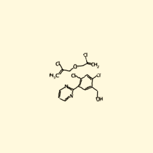 C=C(Cl)COCC(=C)Cl.OCc1cc(-c2ncccn2)c(Cl)cc1Cl